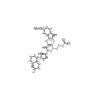 CCC(=O)CCCCCC(NC(=O)Cc1c(C)[nH]c2ccc(OC)cc12)c1ncc(-c2cccc3nc(C)ccc23)[nH]1